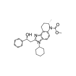 COC(=O)N1c2ccc3c(nc(C[C@H](O)c4ccccc4)n3C3CCCCC3)c2CC[C@@H]1C